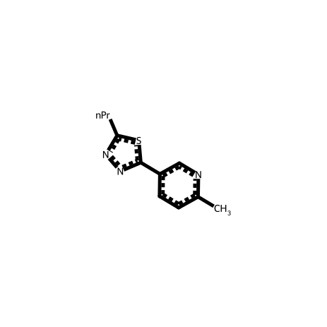 CCCc1nnc(-c2ccc(C)nc2)s1